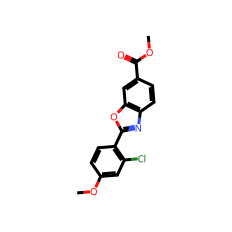 COC(=O)c1ccc2nc(-c3ccc(OC)cc3Cl)oc2c1